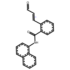 O=[C]/C=C/c1ccccc1C(=O)Nc1cccc2ccccc12